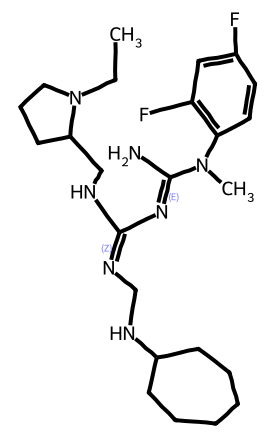 CCN1CCCC1CNC(=N/CNC1CCCCCC1)/N=C(\N)N(C)c1ccc(F)cc1F